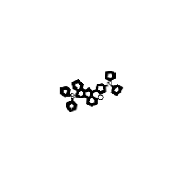 c1ccc(B(c2ccccc2)c2cc3c4cccc5c4c(cc3c3ccccc23)-c2ccc(N(c3ccccc3)c3ccccc3)cc2O5)cc1